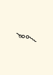 CCCCCCCC1CCC([C@H]2CC[C@H](OCCCC)CC2)CC1